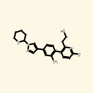 Cc1cc(-c2cnn(C3CCCCO3)c2)ccc1-c1ccc(Cl)nc1CCO